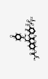 CNS(=O)(=O)Nc1cccc(Cc2c(CN(C)c3ccc(Cl)cc3)c3ccc(OC(=O)N(C)C)cc3oc2=O)c1F